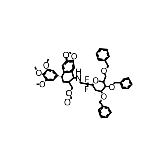 COc1cc([C@H]2CC(COC=O)C(NCC(F)(F)C3CC(OCc4ccccc4)[C@H](OCc4ccccc4)C(COCc4ccccc4)O3)c3cc4c(cc32)OCO4)cc(OC)c1OC